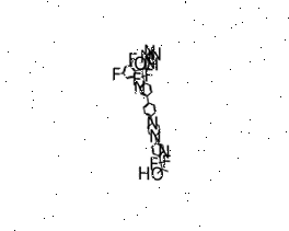 CC(O)C(F)(F)c1ccc(N2CCN(c3ccc(-c4ccc(C(F)(F)[C@](O)(Cn5cnnn5)c5ccc(F)cc5F)nc4)cc3)CC2)cn1